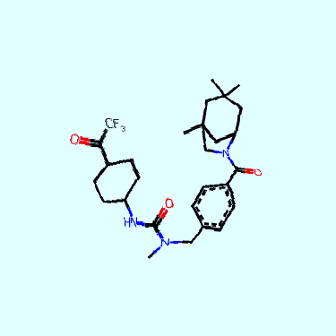 CN(Cc1ccc(C(=O)N2CC3(C)CC2CC(C)(C)C3)cc1)C(=O)NC1CCC(C(=O)C(F)(F)F)CC1